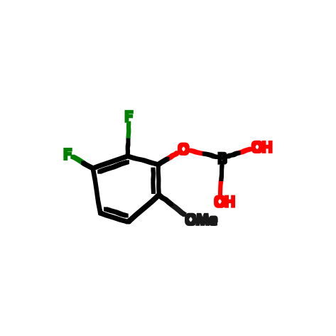 COc1ccc(F)c(F)c1OB(O)O